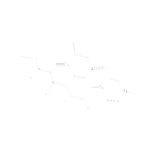 COC(=O)c1cn2c3c(c(N4CCN(C)CC4)c(F)cc3c1=O)C(=O)CC2C